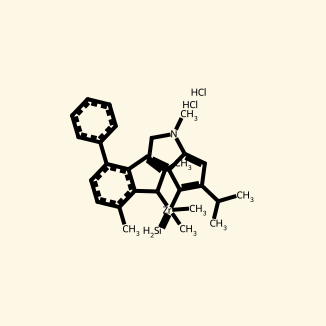 CC1=Cc2c(-c3ccccc3)ccc(C)c2[CH]1[Zr]([CH3])([CH3])(=[SiH2])[C]1=C(C(C)C)C=C2C1=CCN2C.Cl.Cl